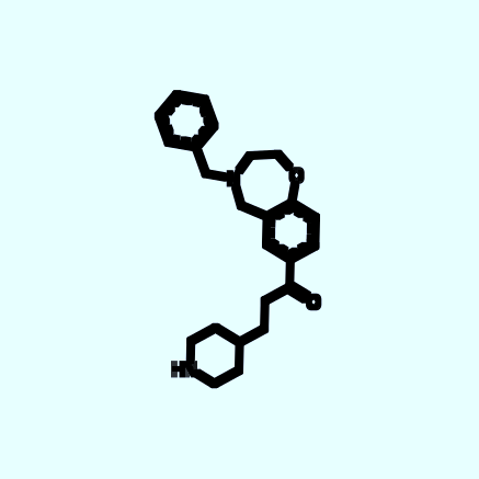 O=C(CCC1CCNCC1)c1ccc2c(c1)CN(Cc1ccccc1)CCO2